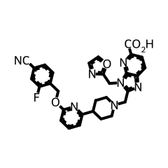 N#Cc1ccc(COc2cccc(C3CCN(Cc4nc5ccc(C(=O)O)nc5n4Cc4ncco4)CC3)n2)c(F)c1